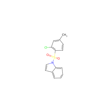 Cc1ccc(S(=O)(=O)n2ccc3ccccc32)c(Cl)c1